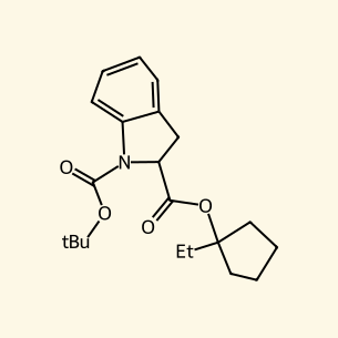 CCC1(OC(=O)C2Cc3ccccc3N2C(=O)OC(C)(C)C)CCCC1